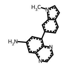 Cn1ccc2ccc(-c3cc(N)cc4nccnc34)cc21